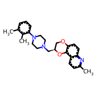 Cc1ccc2c3c(ccc2n1)OC[C@H](CN1CCN(c2cccc(C)c2C)CC1)O3